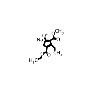 CCOC(=O)C1=C(CC)C(C(=O)OC)=C([O-])C1.[Na+]